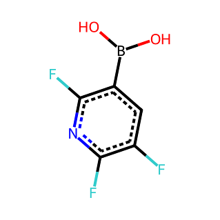 OB(O)c1cc(F)c(F)nc1F